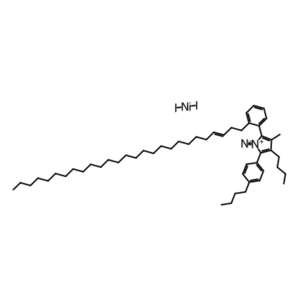 CCCCCCCCCCCCCCCCCCCCCCCC=CCCc1ccccc1C1=C(C)C(CCCC)=C(c2ccc(CCCC)cc2)[N+]1=[N-].[I][Ni][I]